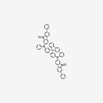 CCn1c2cc(-c3ccccc3)ccc2c2ccc(N(c3ccccc3)c3ccc4c(c3)C3(c5ccccc5-c5ccccc53)c3cc(N(c5ccccc5)c5ccc6c7ccc(-c8ccccc8)cc7n(CC)c6c5)ccc3-4)cc21